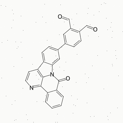 O=Cc1ccc(-c2ccc3c4ccnc5c6ccccc6c(=O)n(c3c2)c45)cc1C=O